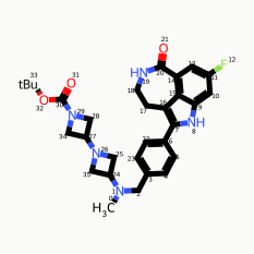 CN(Cc1ccc(-c2[nH]c3cc(F)cc4c3c2CCNC4=O)cc1)C1CN(C2CN(C(=O)OC(C)(C)C)C2)C1